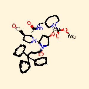 CC(C)(C)OC(=O)N1CCC[C@H](CNC(=O)[C@H]2C(=C=O)CCN2[C@@H]2C[C@@H](OC(C)(C)C)CN2C(=O)CC(c2ccccc2)(c2ccccc2)c2ccccc2)C1